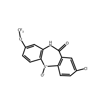 O=C1Nc2cc(OC(F)(F)F)ccc2[S+]([O-])c2ccc(Cl)cc21